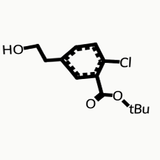 CC(C)(C)OC(=O)c1cc(CCO)ccc1Cl